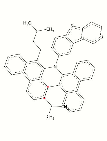 CC(C)CCc1c(N(c2ccc3sc4ccccc4c3c2)c2c(CCC(C)C)c3ccccc3c3ccccc23)c2ccccc2c2ccccc12